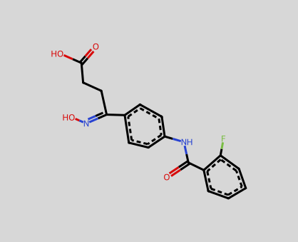 O=C(O)CCC(=NO)c1ccc(NC(=O)c2ccccc2F)cc1